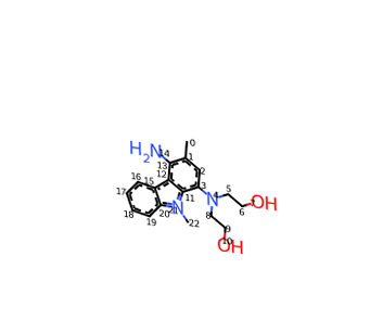 Cc1cc(N(CCO)CCO)c2c(c1N)c1ccccc1n2C